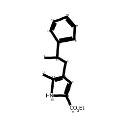 CCOC(=O)c1cc(CC(C)c2ccccc2)c(C)[nH]1